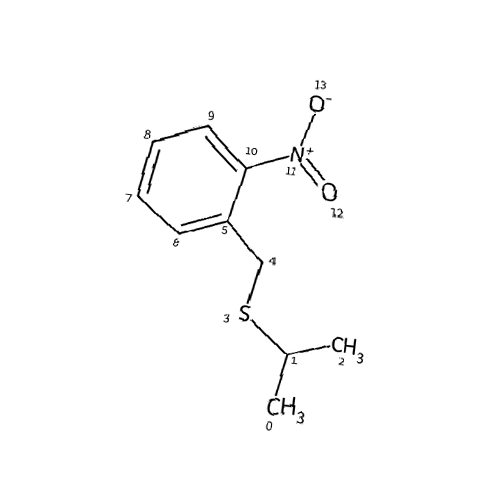 CC(C)SCc1ccccc1[N+](=O)[O-]